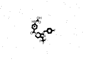 O=C(O)NC12CCC(C(=O)N3CCc4c(C(F)(F)F)nn(Cc5ccc(F)cc5)c4C3)(CC1)CC2